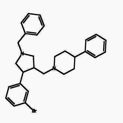 Brc1cccc(C2CN(Cc3ccccc3)CC2CN2CCC(c3ccccc3)CC2)c1